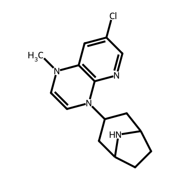 CN1C=CN(C2CC3CCC(C2)N3)c2ncc(Cl)cc21